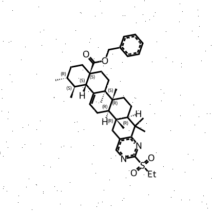 CCS(=O)(=O)c1ncc2c(n1)C(C)(C)[C@@H]1CC[C@]3(C)[C@H](CC=C4[C@@H]5[C@@H](C)[C@H](C)CC[C@]5(C(=O)OCc5ccccc5)CC[C@]43C)[C@@]1(C)C2